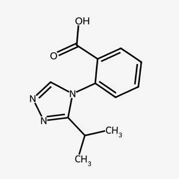 CC(C)c1nncn1-c1ccccc1C(=O)O